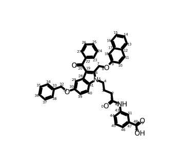 O=C(CCCn1c(COc2ccc3ccccc3c2)c(C(=O)c2ccccc2)c2cc(OCc3ccccc3)ccc21)Nc1cccc(C(=O)O)c1